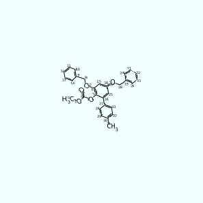 COC(=O)Oc1c(OCc2ccccc2)cc(OCc2ccccc2)cc1-c1ccc(C)cc1